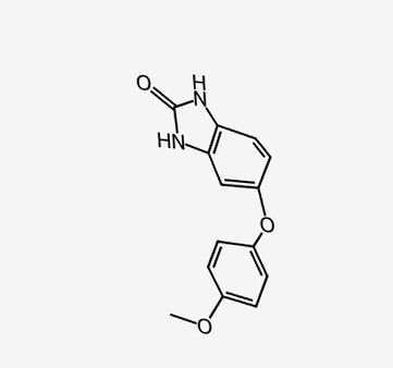 COc1ccc(Oc2ccc3[nH]c(=O)[nH]c3c2)cc1